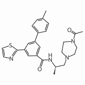 CC(=O)N1CCN(C[C@@H](C)NC(=O)c2cc(-c3ccc(C)cc3)cc(-c3nccs3)c2)CC1